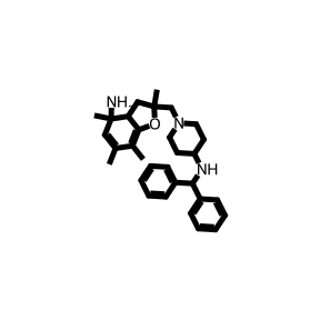 CC1=CC(C)(N)C2CC(C)(CN3CCC(NC(c4ccccc4)c4ccccc4)CC3)OC2=C1C